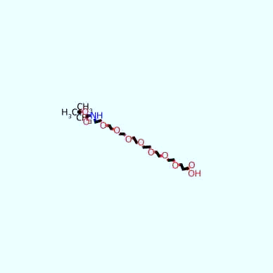 CC(C)(C)OC(=O)NCCOCCOCCOCCOCCOCCOCCOCCC(=O)O